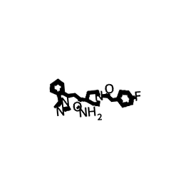 NOC(CC1c2ccccc2-c2cncn21)C1CCN(C(=O)Cc2ccc(F)cc2)CC1